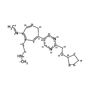 C=NC1=C(SCNC)C=C(c2cnc(COC3CCCC3)nc2)CC=C1